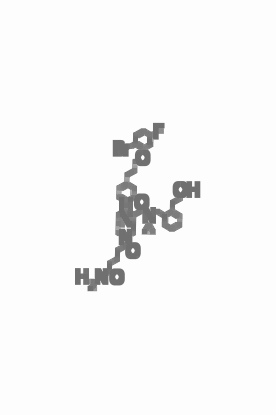 NC(=O)CCCC(=O)N1CC2CC(c3ccc(CCCOc4cc(F)ccc4Br)cc3)=C(C(=O)N(Cc3ccccc3CCO)C3CC3)C(C1)N2